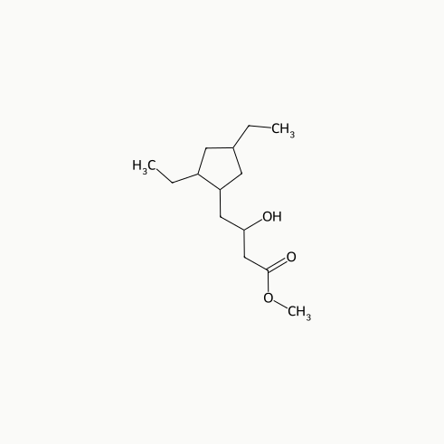 CCC1CC(CC)C(CC(O)CC(=O)OC)C1